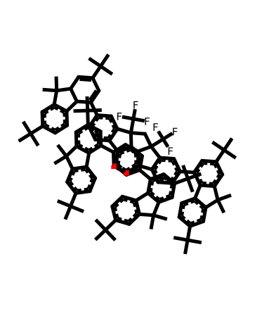 CC(C)(C)C1=CC2C(C(c3ccc4c(c3)C(CC3(C(F)(F)F)c5cc(-c6cc(C(C)(C)C)cc7c6-c6ccc(C(C)(C)C)cc6C7(C)C)ccc5-c5ccc(-c6cc(C(C)(C)C)cc7c6-c6ccc(C(C)(C)C)cc6C7(C)C)cc53)(C(F)(F)F)c3cc(-c5cc(C(C)(C)C)cc6c5-c5ccc(C(C)(C)C)cc5C6(C)C)ccc3-4)=C1)c1ccc(C(C)(C)C)cc1C2(C)C